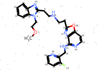 COCCn1c(CCNCCc2nc3c(NCc4ncccc4F)nccc3o2)nc2ccccc21